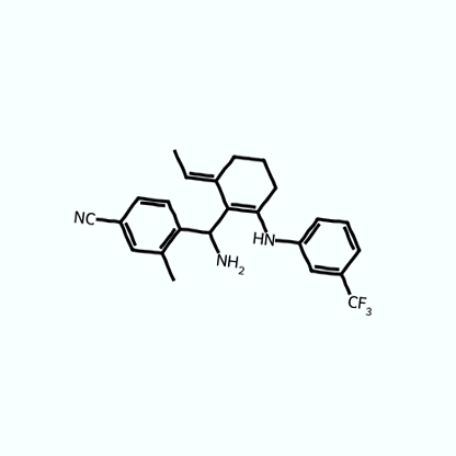 CC=C1CCCC(Nc2cccc(C(F)(F)F)c2)=C1C(N)c1ccc(C#N)cc1C